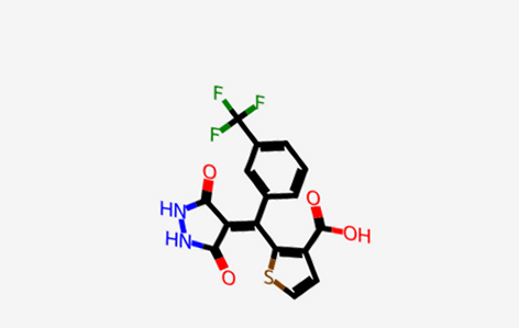 O=C1NNC(=O)C1=C(c1cccc(C(F)(F)F)c1)c1sccc1C(=O)O